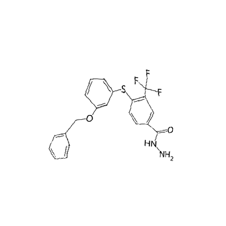 NNC(=O)c1ccc(Sc2cccc(OCc3ccccc3)c2)c(C(F)(F)F)c1